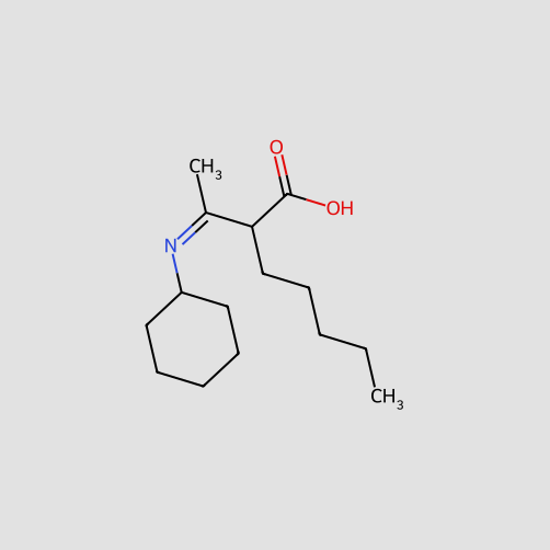 CCCCCC(C(=O)O)/C(C)=N\C1CCCCC1